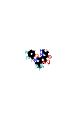 COC(=O)c1c(-c2c(Oc3ccc(F)c(F)c3C)ncc(C(F)(F)F)c2C)[nH]c(C)c(C)c1=O